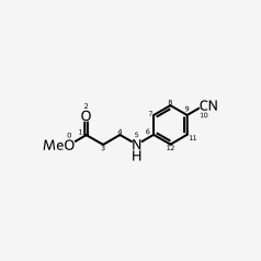 COC(=O)CCNc1ccc(C#N)cc1